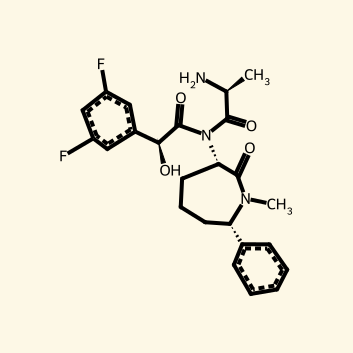 C[C@H](N)C(=O)N(C(=O)[C@@H](O)c1cc(F)cc(F)c1)[C@H]1CCC[C@@H](c2ccccc2)N(C)C1=O